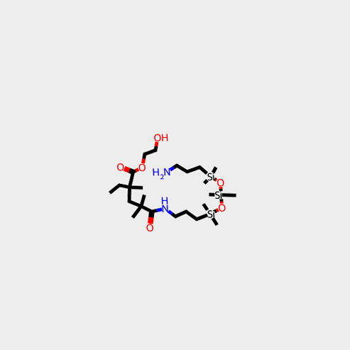 CCC(C)(CC(C)(C)C(=O)NCCC[Si](C)(C)O[Si](C)(C)O[Si](C)(C)CCCN)C(=O)OCCO